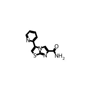 NC(=O)c1cn2c(-c3ccccn3)csc2n1